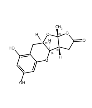 C[C@@]12OC(=O)C[C@@H]1[C@H]1Oc3cc(O)cc(O)c3C[C@H]1O2